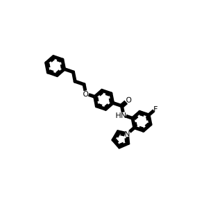 O=C(Nc1cc(F)ccc1-n1cccc1)c1ccc(OCCCc2ccccc2)cc1